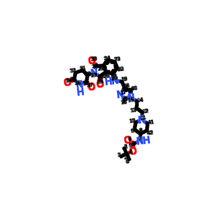 CC(C)(C)OC(=O)NC1CCN(CCCn2cnc(CNc3cccc4c3C(=O)N(C3CCC(=O)NC3=O)C4=O)c2)CC1